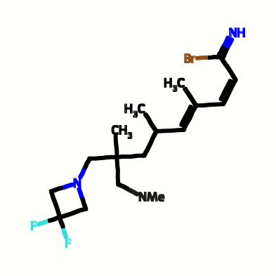 CNCC(C)(CC(C)/C=C(C)/C=C\C(=N)Br)CN1CC(F)(F)C1